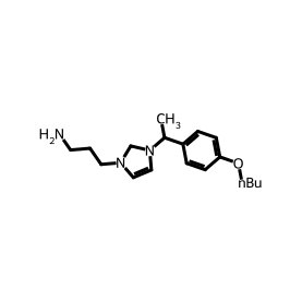 CCCCOc1ccc(C(C)N2C=CN(CCCN)C2)cc1